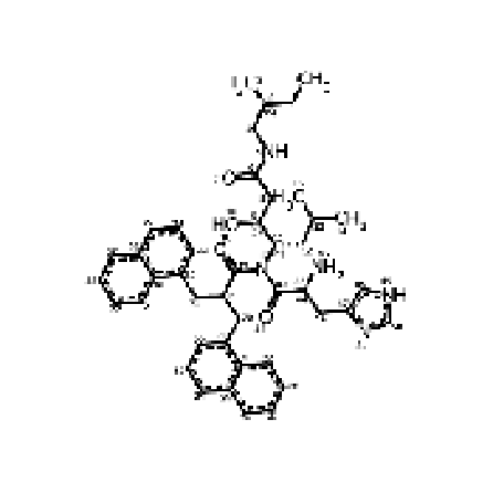 CC[C@H](C)CNC(=O)C[C@H](O)[C@H](CC(C)C)N(C(=O)C(Cc1cccc2ccccc12)Cc1cccc2ccccc12)C(=O)[C@@H](N)Cc1c[nH]cn1